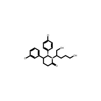 O=C1CCC(c2cccc(Cl)c2)[C@@H](c2ccc(Cl)cc2)N1C(CO)CCCO